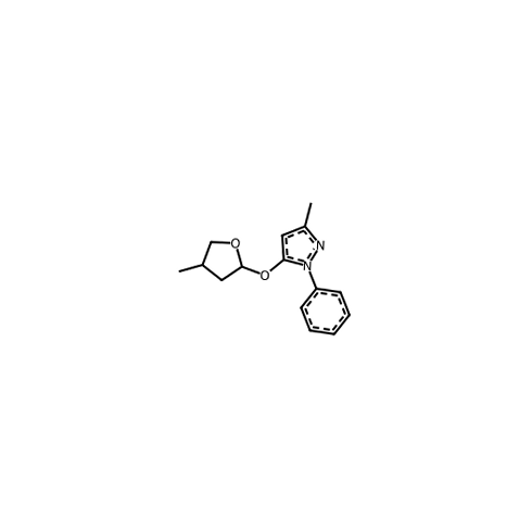 Cc1cc(OC2CC(C)CO2)n(-c2ccccc2)n1